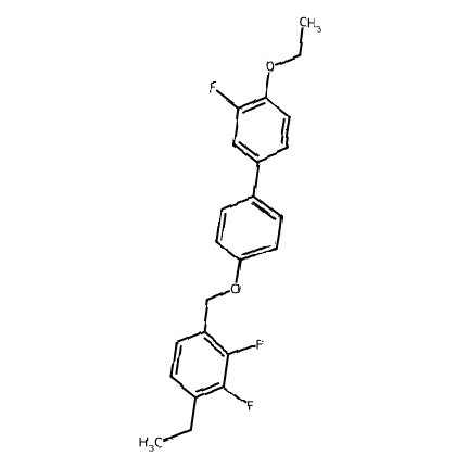 CCOc1ccc(-c2ccc(OCc3ccc(CC)c(F)c3F)cc2)cc1F